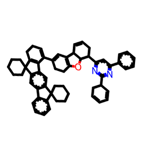 C1=CCC(c2nc(-c3ccccc3)cc(C3CC=CC4C5=C(CCC(C6=CCCC7=C6c6cc8c(cc6C76CCCCC6)-c6ccccc6C86CCCCC6)=C5)OC43)n2)C=C1